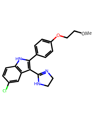 COCCOc1ccc(-c2[nH]c3ccc(Cl)cc3c2C2=NCCN2)cc1